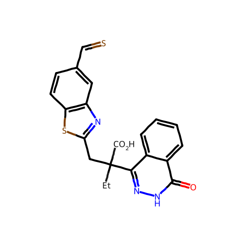 CCC(Cc1nc2cc(C=S)ccc2s1)(C(=O)O)c1n[nH]c(=O)c2ccccc12